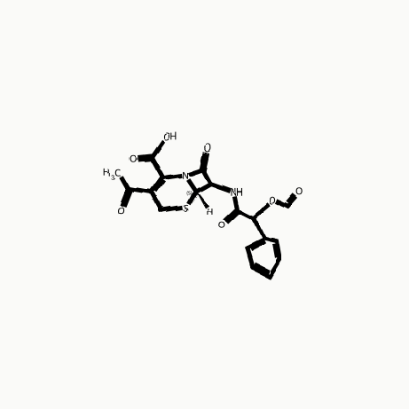 CC(=O)C1=C(C(=O)O)N2C(=O)C(NC(=O)C(OC=O)c3ccccc3)[C@@H]2SC1